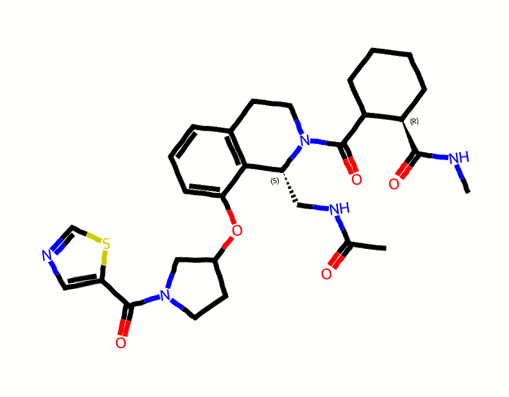 CNC(=O)[C@@H]1CCCCC1C(=O)N1CCc2cccc(OC3CCN(C(=O)c4cncs4)C3)c2[C@H]1CNC(C)=O